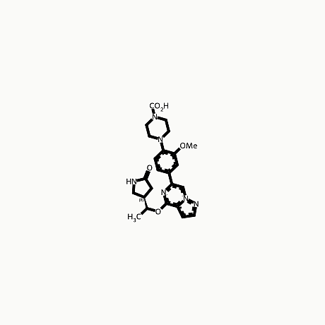 COc1cc(-c2cn3nccc3c(OC(C)[C@H]3CNC(=O)C3)n2)ccc1N1CCN(C(=O)O)CC1